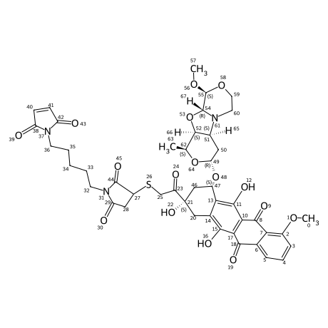 COc1cccc2c1C(=O)c1c(O)c3c(c(O)c1C2=O)C[C@@](O)(C(=O)CSC1CC(=O)N(CCCCCN2C(=O)C=CC2=O)C1=O)C[C@@H]3O[C@H]1C[C@H]2[C@H](O[C@@H]3[C@@H](OC)OCCN32)[C@H](C)O1